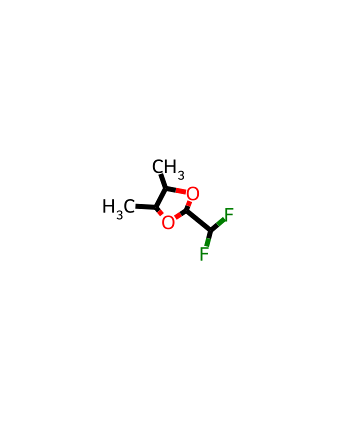 CC1OC(C(F)F)OC1C